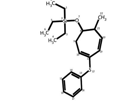 CC[Si](CC)(CC)OC1CC=C(Sc2ccccc2)C=CC1C